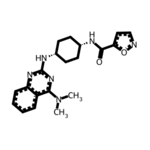 CN(C)c1nc(N[C@H]2CC[C@@H](NC(=O)c3ccno3)CC2)nc2ccccc12